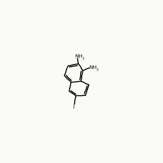 Nc1ccc2cc(I)ccc2c1N